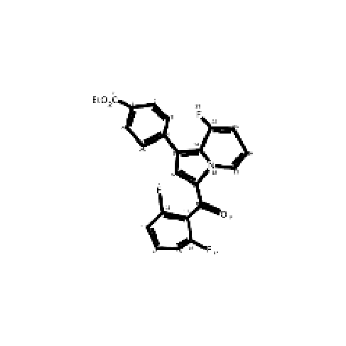 CCOC(=O)c1ccc(-c2cc(C(=O)c3c(F)cccc3F)n3cccc(F)c23)cc1